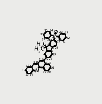 CC1(C)c2cc(-c3cc4cc5ccccc5nc4c4ccccc34)ccc2-c2ccc(P(=O)(c3ccccc3)c3ccccc3)cc21